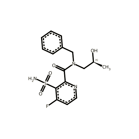 C[C@H](O)CN(Cc1ccccc1)C(=O)c1nccc(F)c1S(N)(=O)=O